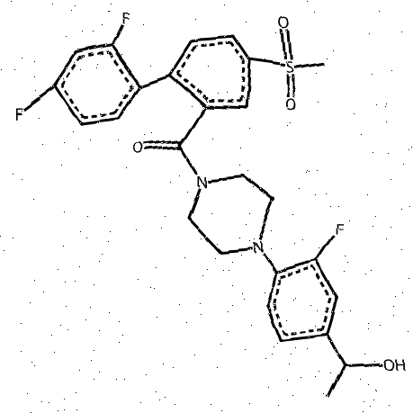 CC(O)c1ccc(N2CCN(C(=O)c3cc(S(C)(=O)=O)ccc3-c3ccc(F)cc3F)CC2)c(F)c1